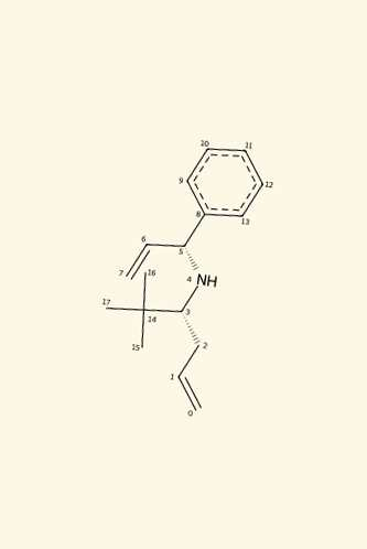 C=CC[C@@H](N[C@H](C=C)c1ccccc1)C(C)(C)C